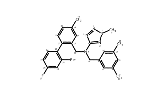 Cn1nnc(N(Cc2cc(C(F)(F)F)cc(C(F)(F)F)c2)Cc2cc(C(F)(F)F)ccc2-c2ccc(F)cc2F)n1